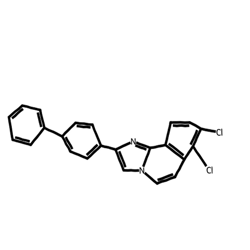 Clc1ccc2c(ccn3cc(-c4ccc(-c5ccccc5)cc4)nc23)c1Cl